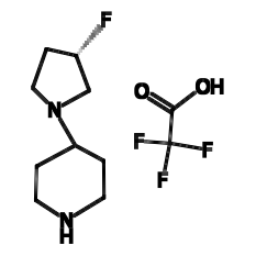 F[C@H]1CCN(C2CCNCC2)C1.O=C(O)C(F)(F)F